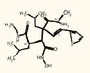 CC(C)C[C@@H](C(=O)NN)C(C(=O)NO)C(/C=C/c1cccs1)(CC(C)C)C(=O)[C@@H](C)N